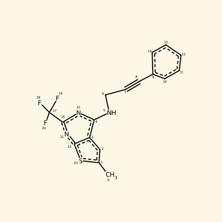 Cc1cc2c(NCC#Cc3ccccc3)nc(C(F)(F)F)nc2s1